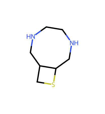 C1CNCC2SCC2CN1